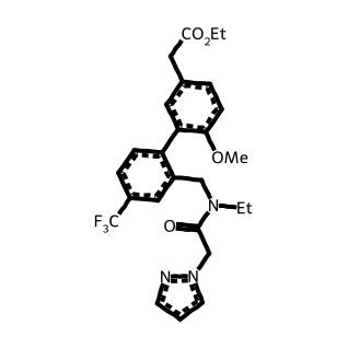 CCOC(=O)Cc1ccc(OC)c(-c2ccc(C(F)(F)F)cc2CN(CC)C(=O)Cn2cccn2)c1